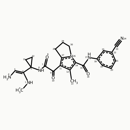 CN/C(=C\N)C1(NC(=O)C(=O)c2c(C)c(C(=O)Nc3cccc(C#N)c3)n3c2CCC3)CC1